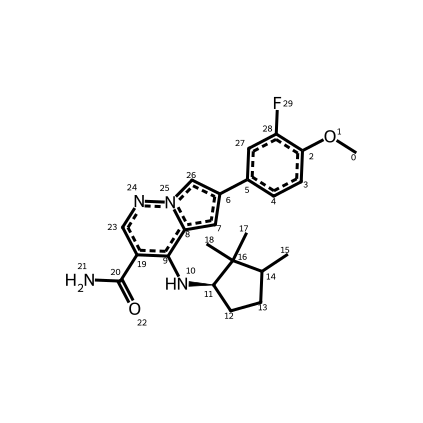 COc1ccc(-c2cc3c(N[C@@H]4CCC(C)C4(C)C)c(C(N)=O)cnn3c2)cc1F